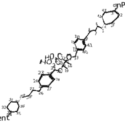 CCCCC[C@H]1CC[C@H](CCCCc2ccc(CO[C@@](C)(C(=O)O)[C@@](C)(OCc3ccc(CCCC[C@H]4CC[C@H](CCCCC)CC4)cc3)C(=O)O)cc2)CC1